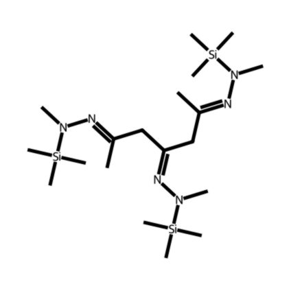 C/C(CC(C/C(C)=N/N(C)[Si](C)(C)C)=NN(C)[Si](C)(C)C)=N\N(C)[Si](C)(C)C